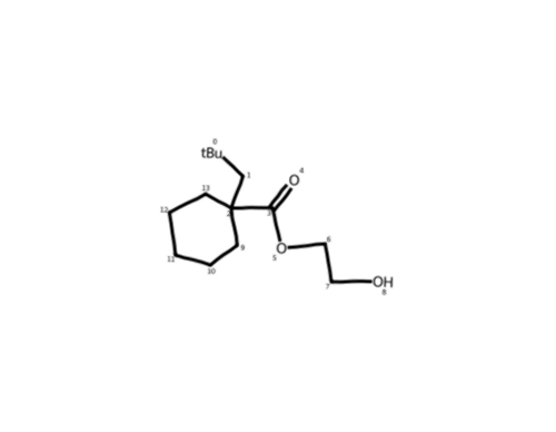 CC(C)(C)CC1(C(=O)OCCO)CCCCC1